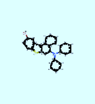 Brc1ccc2sc3cc(N(c4ccccc4)c4ccccc4)c4ccccc4c3c2c1